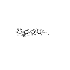 BC1CCC(c2ccc(-c3ccc(C4CCCCC4)c(F)c3)cc2)CC1